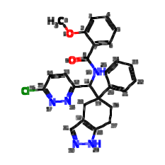 COc1ccccc1C(=O)NC(c1ccc(Cl)nn1)C1(c2ccccc2)CCc2[nH]ncc2C1